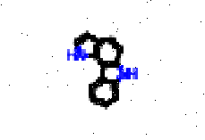 c1ccc2c(c1)[nH]c1ccc3cc[nH]c3c12